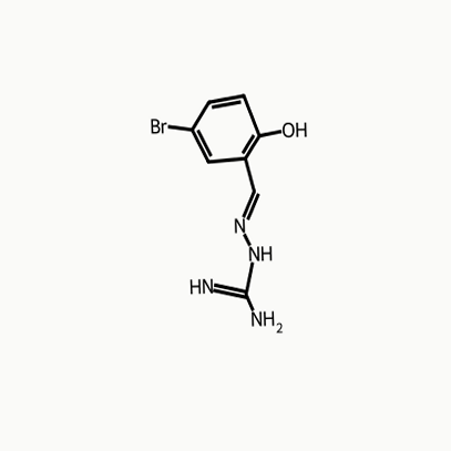 N=C(N)NN=Cc1cc(Br)ccc1O